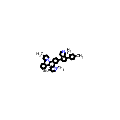 Cc1ccc(-c2ccc(-c3ccc(C4C(C)c5ccccc5-c5cc(C)cc[n+]54)c(-c4cc(C(C)(C)C)cc[n+]4C)c3)c3ccncc23)c(C)c1